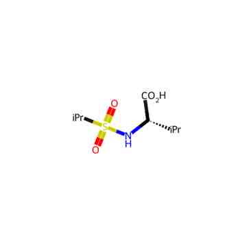 CC(C)[C@H](NS(=O)(=O)C(C)C)C(=O)O